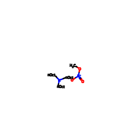 CCCCCCCCN(CCCCCCCC)CCCCCCCC.CO[N+](=O)[O-]